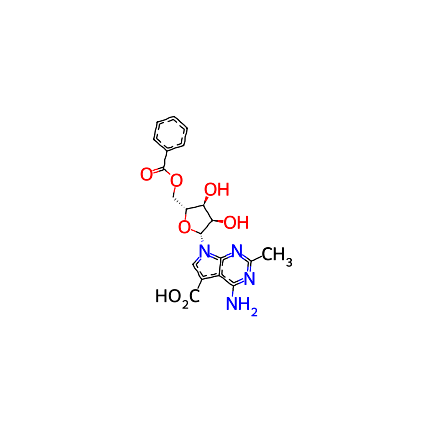 Cc1nc(N)c2c(C(=O)O)cn([C@@H]3O[C@H](COC(=O)c4ccccc4)[C@@H](O)[C@H]3O)c2n1